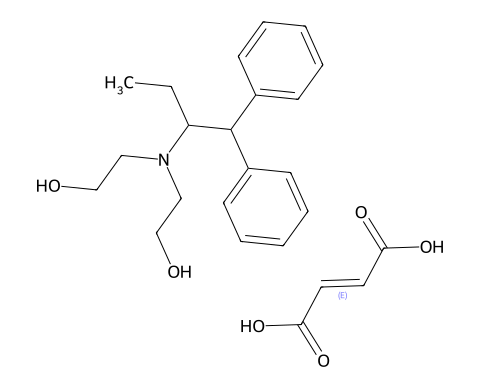 CCC(C(c1ccccc1)c1ccccc1)N(CCO)CCO.O=C(O)/C=C/C(=O)O